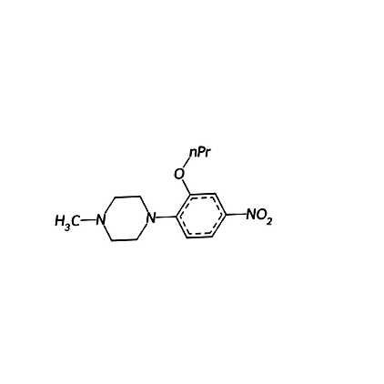 CCCOc1cc([N+](=O)[O-])ccc1N1CCN(C)CC1